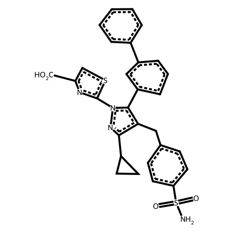 NS(=O)(=O)c1ccc(Cc2c(C3CC3)nn(-c3nc(C(=O)O)cs3)c2-c2cccc(-c3ccccc3)c2)cc1